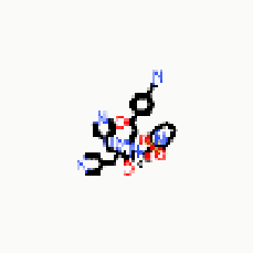 CS(=O)(=O)N1C2CCC1CC(CN1C(=O)C(Cc3ccncc3)(Cc3ccncc3)NC1=CC(=O)c1ccc(C#N)cc1)C2